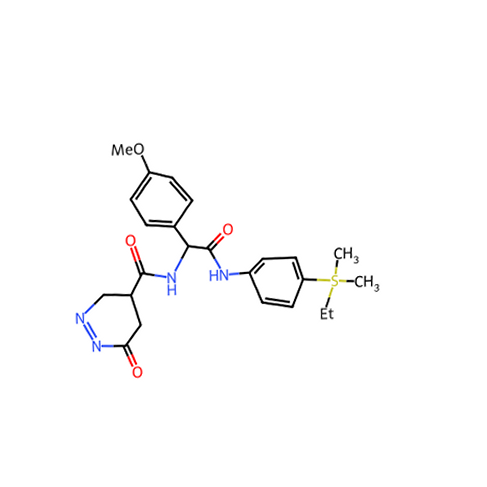 CCS(C)(C)c1ccc(NC(=O)C(NC(=O)C2CN=NC(=O)C2)c2ccc(OC)cc2)cc1